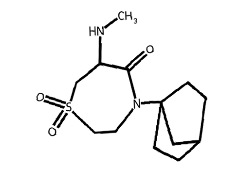 CNC1CS(=O)(=O)CCN(C23CCC(CC2)C3)C1=O